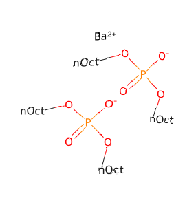 CCCCCCCCOP(=O)([O-])OCCCCCCCC.CCCCCCCCOP(=O)([O-])OCCCCCCCC.[Ba+2]